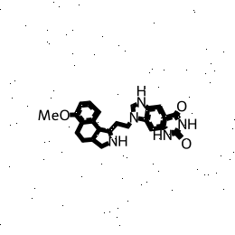 COc1cccc2c1CCC1CNC(CCN3CNc4cc5c(=O)[nH]c(=O)[nH]c5cc43)C21